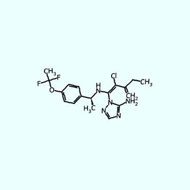 C=C(CC)/C(Cl)=C(/N[C@@H](C)c1ccc(OC(C)(F)F)cc1)n1ncnc1N